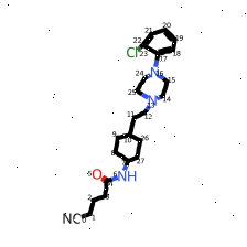 N#CCCCC(=O)NC1CCC(CCN2CCN(c3ccccc3Cl)CC2)CC1